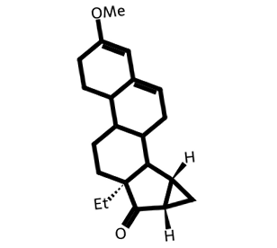 CC[C@]12CCC3C4CCC(OC)=CC4=CCC3C1[C@@H]1C[C@@H]1C2=O